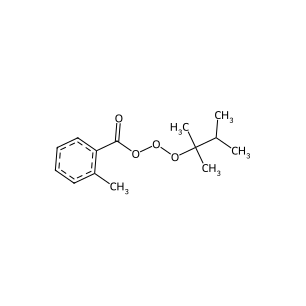 Cc1ccccc1C(=O)OOOC(C)(C)C(C)C